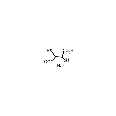 O=C([O-])C(S)C(S)C(=O)O.[Na+]